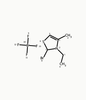 CCN1C(C)=CSC1Br.F[B-](F)(F)F